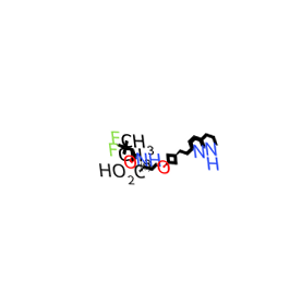 CC(C)(CC(=O)N[C@@H](CCO[C@H]1C[C@@H](CCc2ccc3c(n2)NCCC3)C1)C(=O)O)C(F)F